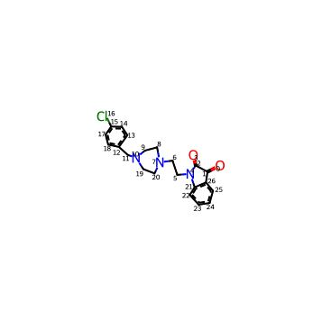 O=C1C(=O)N(CCN2CCN(Cc3ccc(Cl)cc3)CC2)c2ccccc21